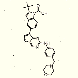 CC(C)(C)c1cc2cc(-c3csc4cnc(Nc5ccc(CN6CCOCC6)cc5)nc34)ccc2n1C(=O)O